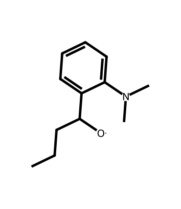 CCCC([O])c1ccccc1N(C)C